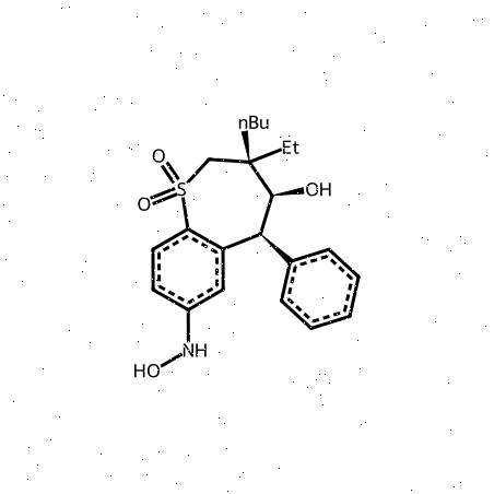 CCCC[C@]1(CC)CS(=O)(=O)c2ccc(NO)cc2[C@H](c2ccccc2)[C@@H]1O